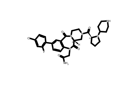 NC(=O)CN1C(=O)[C@H]2CN(C(=O)[C@@H]3CCCN3C3CCNCC3)CCN2C(=O)c2cc(-c3ccc(Cl)cc3F)ccc21